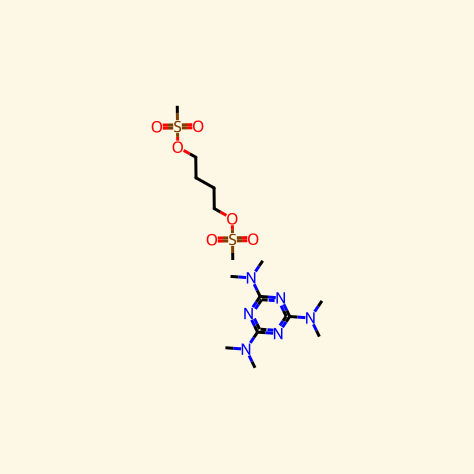 CN(C)c1nc(N(C)C)nc(N(C)C)n1.CS(=O)(=O)OCCCCOS(C)(=O)=O